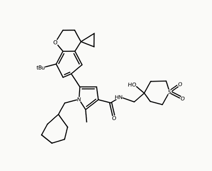 Cc1c(C(=O)NCC2(O)CCS(=O)(=O)CC2)cc(-c2cc(C(C)(C)C)c3c(c2)C2(CCO3)CC2)n1CC1CCCCC1